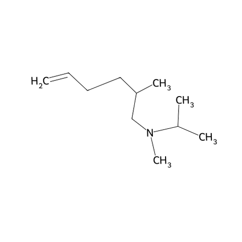 C=CCCC(C)CN(C)C(C)C